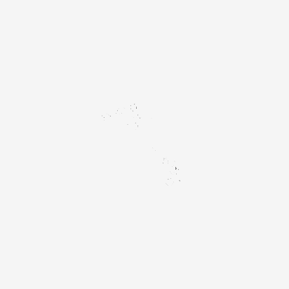 Cc1ncsc1-c1ccc(CNC(=O)[C@@H]2C[C@@H](O)CN2C(=O)[C@@H](NC(=O)CCCCN2CCC(Cn3cc(-c4cc(-c5ccccc5O)nnc4N)cn3)CC2)C(C)(C)C)cc1